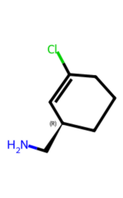 NC[C@H]1C=C(Cl)CCC1